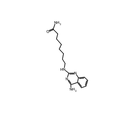 NC(=O)CCCCCCCNc1nc(N)c2ccccc2n1